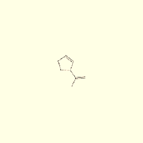 C=C(C)C1C=CCC1